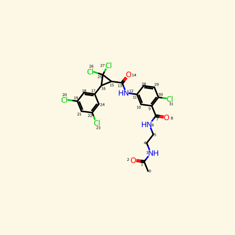 CC(=O)NCCNC(=O)c1cc(NC(=O)C2C(c3cc(Cl)cc(Cl)c3)C2(Cl)Cl)ccc1Cl